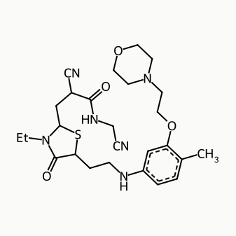 CCN1C(=O)C(CCNc2ccc(C)c(OCCN3CCOCC3)c2)SC1CC(C#N)C(=O)NCC#N